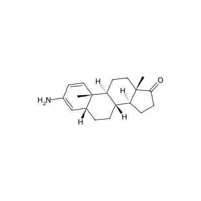 C[C@]12C=CC(N)=C[C@H]1CC[C@@H]1[C@@H]2CC[C@]2(C)C(=O)CC[C@@H]12